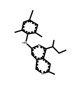 CCC(C)c1nc(Nc2c(C)cc(C)cc2C)cc2cnc(C)cc12